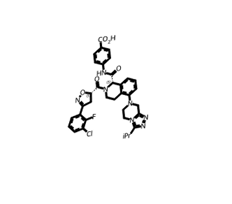 CC(C)c1nnc2n1CCN(c1cccc3c1CCN(C(=O)[C@@H]1CC(c4cccc(Cl)c4F)=NO1)[C@@H]3C(=O)Nc1ccc(C(=O)O)cc1)C2